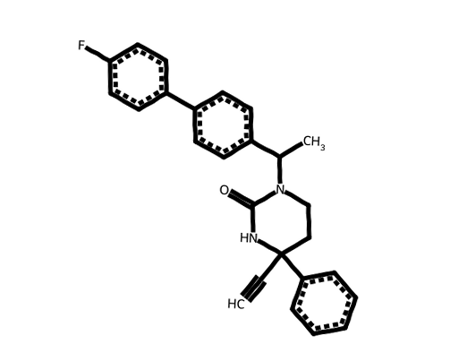 C#CC1(c2ccccc2)CCN(C(C)c2ccc(-c3ccc(F)cc3)cc2)C(=O)N1